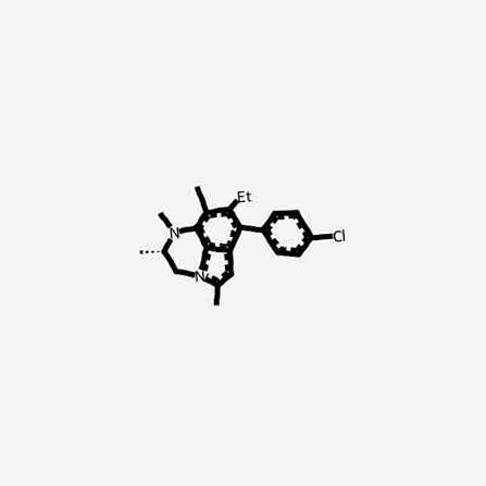 CCc1c(C)c2c3c(cc(C)n3C[C@H](C)N2C)c1-c1ccc(Cl)cc1